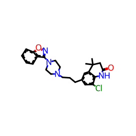 CC1(C)CC(=O)Nc2c(Cl)cc(CCCN3CCN(c4noc5ccccc45)CC3)cc21